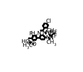 CNN(/C(=C\N)c1ccc(Cl)cc1)c1cc(-c2cc(F)c(CO)c(S(C)(=O)=O)c2)ccc1-n1cc(C(F)(F)F)nc1C